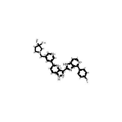 Fc1ccc(-c2nccc3[nH]c(-c4n[nH]c5ccc(-c6cncc(CN7CCC(F)(F)C7)c6)nc45)nc23)cc1